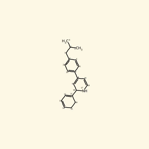 CC(C)Cc1ccc(C2=CC(C3=CC=CCC3)NC=C2)cc1